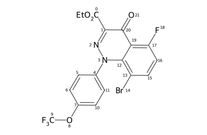 CCOC(=O)c1nn(-c2ccc(OC(F)(F)F)cc2)c2c(Br)ccc(F)c2c1=O